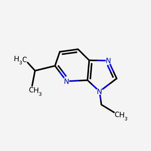 CCn1cnc2ccc(C(C)C)nc21